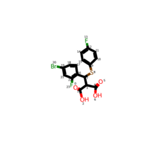 O=C(O)C(C(=O)O)C(Sc1ccc(F)cc1)c1ccc(Br)cc1F